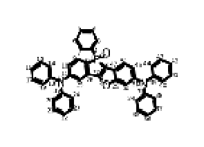 O=P1(c2ccccc2)c2ccc(N(c3ccccc3)c3ccccc3)cc2-c2oc3cc(N(c4ccccc4)c4ccccc4)ccc3c21